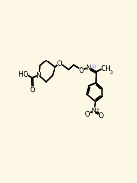 C/C(=N/OCCOC1CCN(C(=O)O)CC1)c1ccc([N+](=O)[O-])cc1